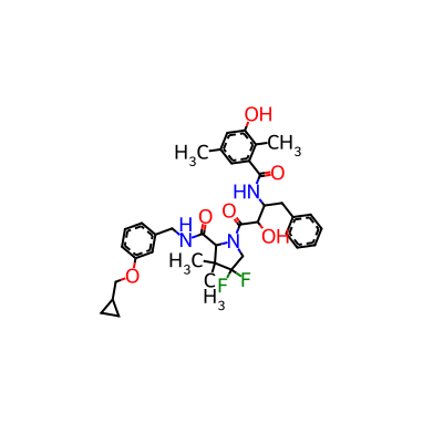 Cc1cc(O)c(C)c(C(=O)NC(Cc2ccccc2)C(O)C(=O)N2CC(F)(F)C(C)(C)C2C(=O)NCc2cccc(OCC3CC3)c2)c1